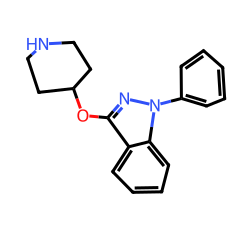 c1ccc(-n2nc(OC3CCNCC3)c3ccccc32)cc1